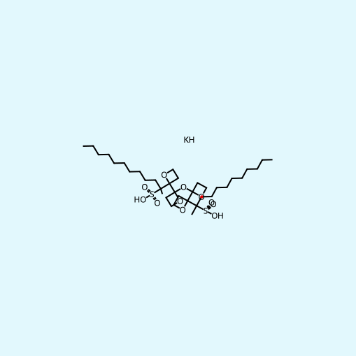 CCCCCCCCCCC(C)(C1(C2(OC3(C4(C(C)(CCCCCCCCCC)S(=O)(=O)O)CCO4)CCO3)CCO2)CCO1)S(=O)(=O)O.[KH]